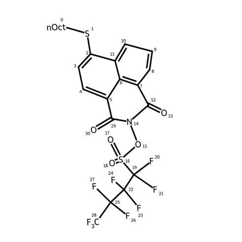 CCCCCCCCSc1ccc2c3c(cccc13)C(=O)N(OS(=O)(=O)C(F)(F)C(F)(F)C(F)(F)C(F)(F)F)C2=O